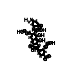 Nc1ccc(S(=O)(=O)O)c(/N=N/c2c(SOOO)cc3cc(S(=O)(=O)O)c(/N=N/c4ccc([N+](=O)[O-])cc4SOOO)c(O)c3c2O)c1